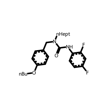 CCCCCCCN(Cc1ccc(OCCCC)cc1)C(=O)Nc1ccc(F)cc1F